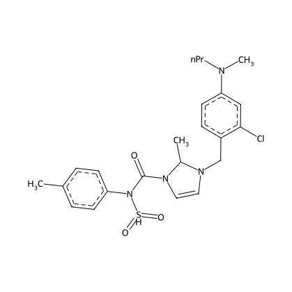 CCCN(C)c1ccc(CN2C=CN(C(=O)N(c3ccc(C)cc3)[SH](=O)=O)C2C)c(Cl)c1